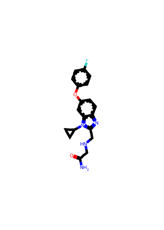 NC(=O)CNCc1nc2ccc(Oc3ccc(F)cc3)cc2n1C1CC1